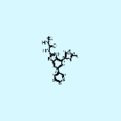 CCNC(=O)Nc1nc2cc(-c3cccnc3)cc(-c3csc(C)n3)c2[nH]1